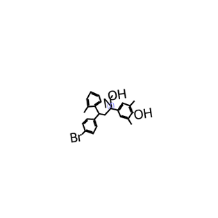 Cc1ccccc1C(C/C(=N/O)c1cc(C)c(O)c(C)c1)c1ccc(Br)cc1